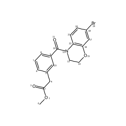 COC(=O)Cc1cccc(C(=O)N2CCOc3cc(Br)ccc32)c1